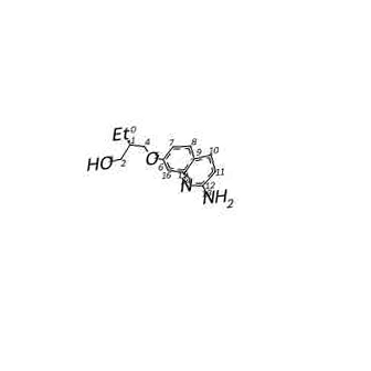 CC[C@H](CO)COc1ccc2ccc(N)nc2c1